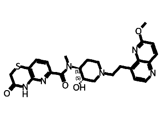 COc1ccc2nccc(CCN3CC[C@H](N(C)C(=O)c4ccc5c(n4)NC(=O)CS5)[C@@H](O)C3)c2n1